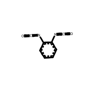 O=C=Nc1ccccc1N=C=O